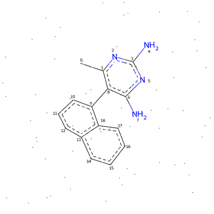 Cc1nc(N)nc(N)c1-c1cccc2ccccc12